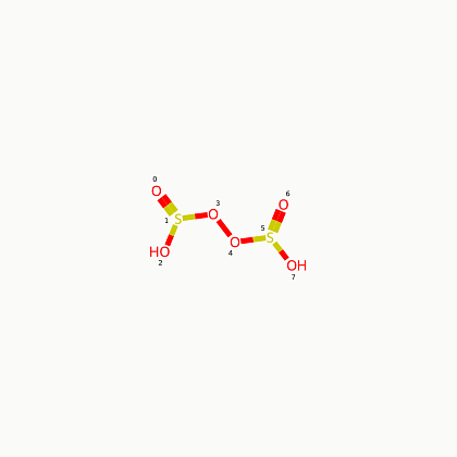 O=S(O)OOS(=O)O